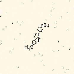 CCCCc1ccc(-c2ccc(-c3ccc(C)cc3)c(F)c2)cc1